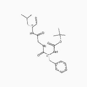 CC(C)C[C@H](C=O)NC(=O)CNC(=O)[C@@H](Cc1ccccc1)NC(=O)OC(C)(C)C